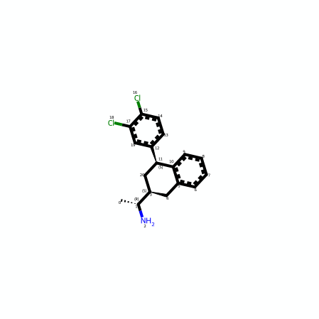 C[C@@H](N)[C@@H]1Cc2ccccc2[C@H](c2ccc(Cl)c(Cl)c2)C1